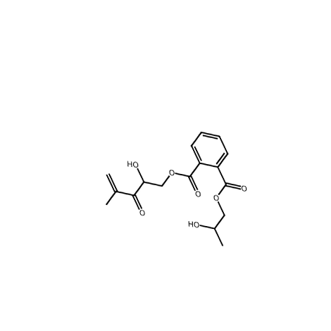 C=C(C)C(=O)C(O)COC(=O)c1ccccc1C(=O)OCC(C)O